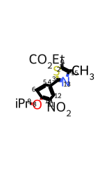 CCOC(=O)c1sc(-c2ccc(OC(C)C)c([N+](=O)[O-])c2)nc1C